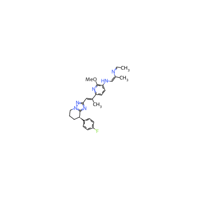 C/C=N\C(C)=C/Nc1ccc(/C(C)=C/c2nc3n(n2)CCC[C@@H]3c2ccc(F)cc2)nc1OC